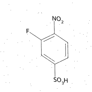 O=[N+]([O-])c1ccc(S(=O)(=O)O)cc1F